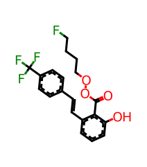 O=C(OOCCCCF)c1c(O)cccc1C=Cc1ccc(C(F)(F)F)cc1